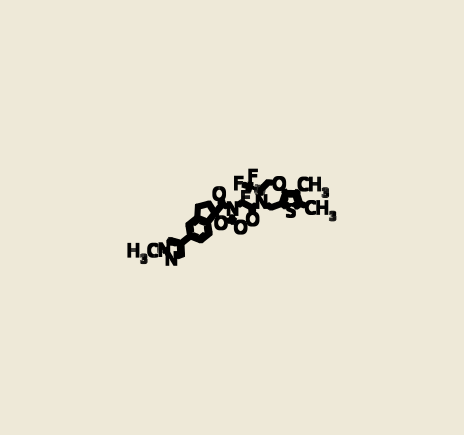 Cc1sc2c(c1C)OC[C@@H](C(F)(F)F)N(C(=O)CN1C(=O)OC3(CCc4cc(-c5cnn(C)c5)ccc43)C1=O)C2